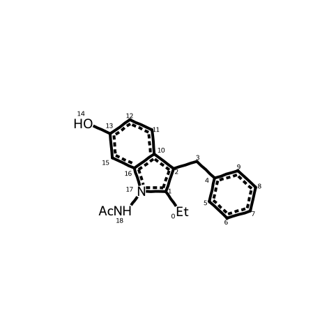 CCc1c(Cc2ccccc2)c2ccc(O)cc2n1NC(C)=O